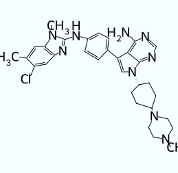 Cc1cc2c(cc1Cl)nc(Nc1ccc(-c3cn([C@H]4CC[C@@H](N5CCN(C)CC5)CC4)c4ncnc(N)c34)cc1)n2C